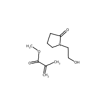 C=C(C)C(=O)OC.O=C1CCCN1CCO